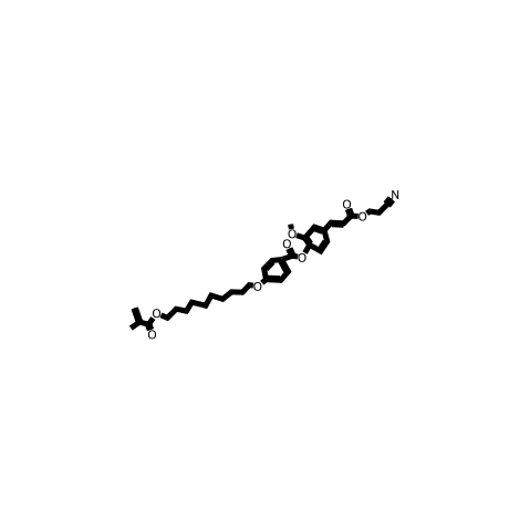 C=C(C)C(=O)OCCCCCCCCCCOc1ccc(C(=O)Oc2ccc(/C=C/C(=O)OCCC#N)cc2OC)cc1